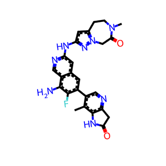 Cc1c(-c2cc3cc(Nc4cc5n(n4)CC(=O)N(C)CC5)ncc3c(N)c2F)cnc2c1NC(=O)C2